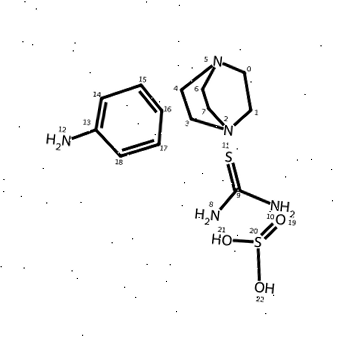 C1CN2CCN1CC2.NC(N)=S.Nc1ccccc1.O=S(O)O